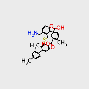 CC1=C(C(=O)O)CC(C(=O)O)(c2cccc(CN)c2CSc2cccc(-c3ccc(C)cc3)c2C)C=C1